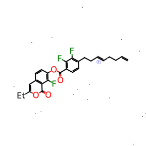 C=CCC/C=C/CCc1ccc(C(=O)Oc2ccc3cc(CC)oc(=O)c3c2F)c(F)c1F